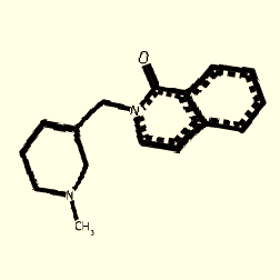 CN1CCCC(Cn2ccc3ccccc3c2=O)C1